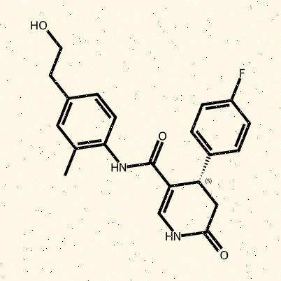 Cc1cc(CCO)ccc1NC(=O)C1=CNC(=O)C[C@H]1c1ccc(F)cc1